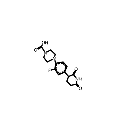 O=C1CCC(c2ccc(N3CCN(C(=O)O)CC3)c(F)c2)C(=O)N1